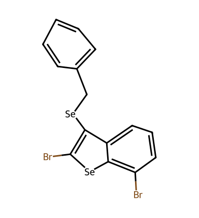 Brc1[se]c2c(Br)cccc2c1[Se]Cc1ccccc1